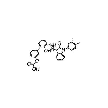 Cc1ccc(N2C(=O)C(=NNc3cccc(-c4cccc(OC(=O)O)c4)c3O)c3ccccc32)cc1C